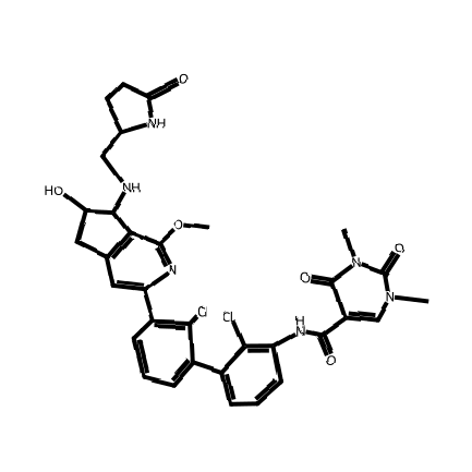 COc1nc(-c2cccc(-c3cccc(NC(=O)c4cn(C)c(=O)n(C)c4=O)c3Cl)c2Cl)cc2c1C(NCC1CCC(=O)N1)C(O)C2